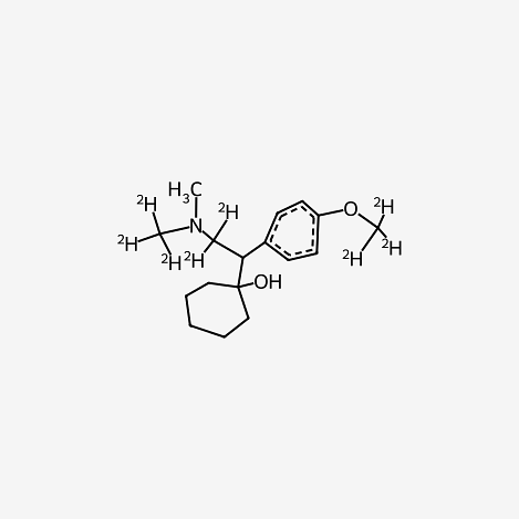 [2H]C([2H])([2H])Oc1ccc(C(C2(O)CCCCC2)C([2H])([2H])N(C)C([2H])([2H])[2H])cc1